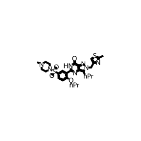 CCCOc1ccc(S(=O)(=O)N2CCN(C)CC2)cc1-c1nc2c(CCC)n(Cc3csc(C)n3)nc2c(=O)[nH]1